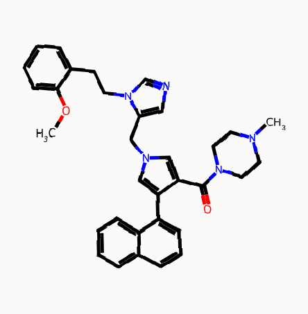 COc1ccccc1CCn1cncc1Cn1cc(C(=O)N2CCN(C)CC2)c(-c2cccc3ccccc23)c1